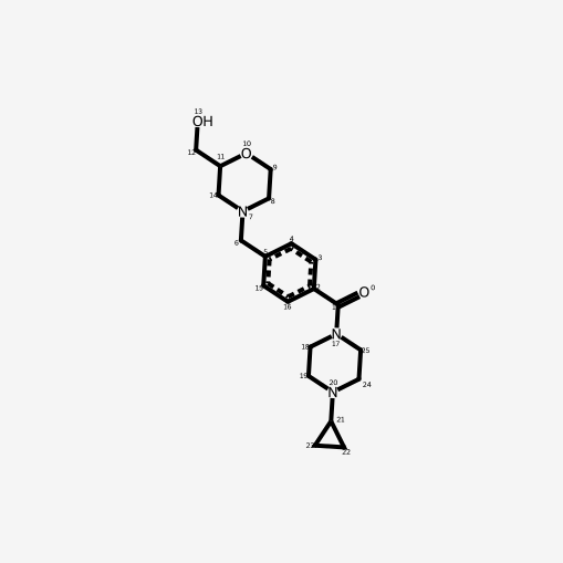 O=C(c1ccc(CN2CCOC(CO)C2)cc1)N1CCN(C2CC2)CC1